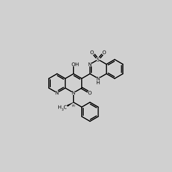 C[C@H](c1ccccc1)n1c(=O)c(C2=NS(=O)(=O)c3ccccc3N2)c(O)c2cccnc21